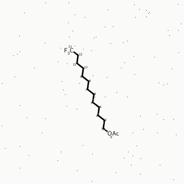 CC(=O)OCCCCCCCCCCCCC(F)(F)F